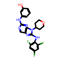 Oc1cccc(Nc2ncc3nc(Nc4c(F)cc(F)cc4F)n(C4CCOCC4)c3n2)c1